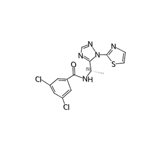 C[C@H](NC(=O)c1cc(Cl)cc(Cl)c1)c1ncnn1-c1nccs1